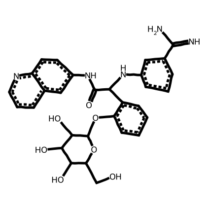 N=C(N)c1cccc(NC(C(=O)Nc2ccc3ncccc3c2)c2ccccc2OC2OC(CO)C(O)C(O)C2O)c1